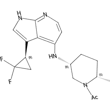 CC(=O)N1C[C@H](Nc2ccnc3[nH]cc([C@H]4CC4(F)F)c23)CC[C@@H]1C